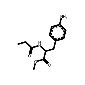 CCC(=O)NC(Cc1ccc(N)cc1)C(=O)OC